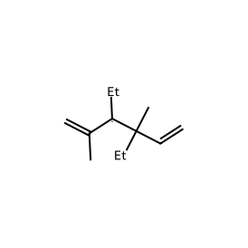 C=CC(C)(CC)[C](CC)C(=C)C